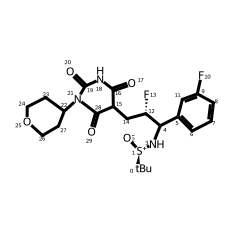 CC(C)(C)[S@@+]([O-])NC(c1cccc(F)c1)[C@@H](F)CC1C(=O)NC(=O)N(C2CCOCC2)C1=O